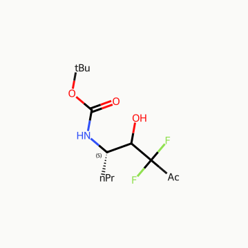 CCC[C@H](NC(=O)OC(C)(C)C)C(O)C(F)(F)C(C)=O